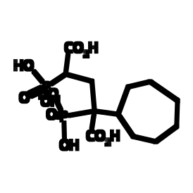 O=C(O)C(CC(C(=O)O)(C1CCCCCC1)P(=O)(O)O)P(=O)(O)O